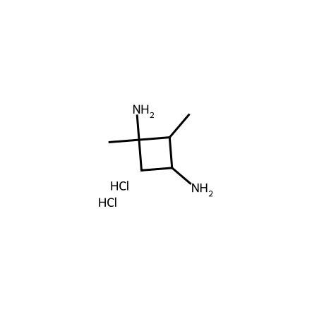 CC1C(N)CC1(C)N.Cl.Cl